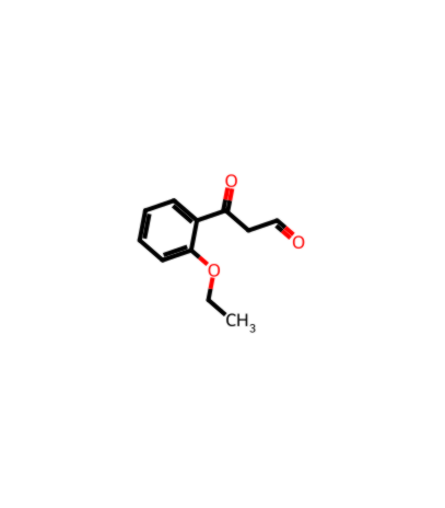 CCOc1ccccc1C(=O)CC=O